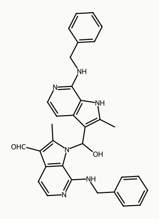 Cc1[nH]c2c(NCc3ccccc3)nccc2c1C(O)n1c(C)c(C=O)c2ccnc(NCc3ccccc3)c21